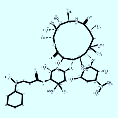 CC[C@H]1OC(=O)[C@H](C)[C@@H](O[C@H]2C[C@@](C)(OC)[C@@H](OC(=O)CCN(C)C3CCCCC3)[C@H](C)O2)[C@H](C)[C@@H](O[C@@H]2O[C@H](C)C[C@H](N(C)C)[C@H]2O)[C@](C)(OC)C[C@@H](C)C(=O)N[C@H](C)[C@@H](O)[C@]1(C)O